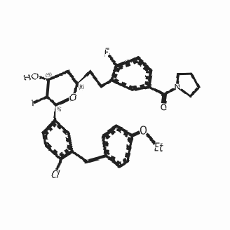 CCOc1ccc(Cc2cc([C@@H]3O[C@H](CCc4cc(C(=O)N5CCCC5)ccc4F)C[C@H](O)C3I)ccc2Cl)cc1